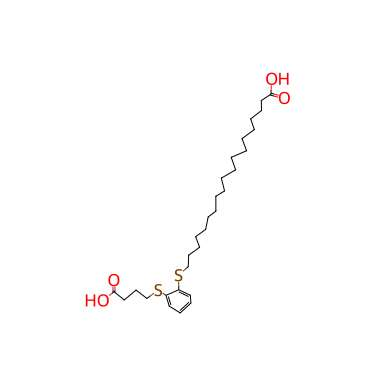 O=C(O)CCCCCCCCCCCCCCCCCCSc1ccccc1SCCCC(=O)O